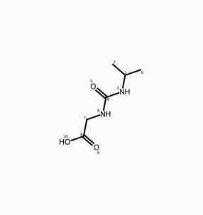 CC(C)NC(=O)NCC(=O)O